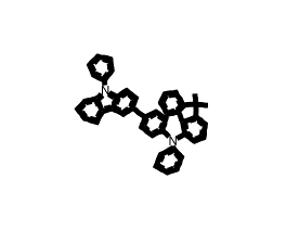 CC1(C)c2ccccc2-c2c(N(c3ccccc3)c3ccc(-c4ccc5c(c4)c4ccccc4n5-c4ccccc4)cc3)cccc21